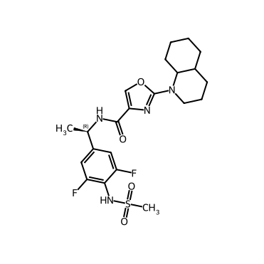 C[C@@H](NC(=O)c1coc(N2CCCC3CCCCC32)n1)c1cc(F)c(NS(C)(=O)=O)c(F)c1